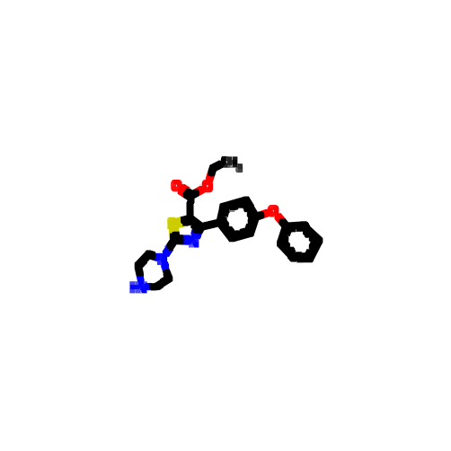 CCOC(=O)c1sc(N2CCNCC2)nc1-c1ccc(Oc2ccccc2)cc1